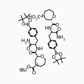 CC(C)(C)OC(=O)N1CCCOC(C(=O)NC(Cc2ccc(B3OC(C)(C)C(C)(C)O3)cc2)C(N)=O)C1.CC1(C)OB(c2ccc(CC(NC(=O)[C@@H]3CN(C(=O)O)CCCO3)C(N)=O)cc2)OC1(C)C